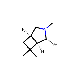 CC(=O)[C@@H]1[C@@H]2[C@H](CN1C)CC2(C)C